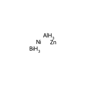 [AlH3].[BiH3].[Ni].[Zn]